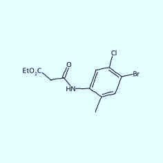 CCOC(=O)CC(=O)Nc1cc(Cl)c(Br)cc1C